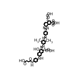 Cc1cc(N=Nc2c(SOOO)cc3cc(Nc4ccc(NC(=O)CCC(=O)O)cc4)ccc3c2O)cc(C)c1N=Nc1ccc(-n2nc3ccc4c(SOOO)cc(S(=O)(=O)O)cc4c3n2)cc1